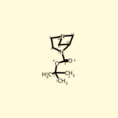 CC(C)(C)OC(=O)N1CCN2CC1C2